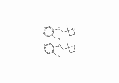 CC1(COc2cnccc2C#N)CCO1.CC1(COc2cnccc2C#N)CCO1